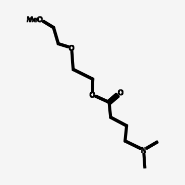 COCCOCCOC(=O)CCCN(C)C